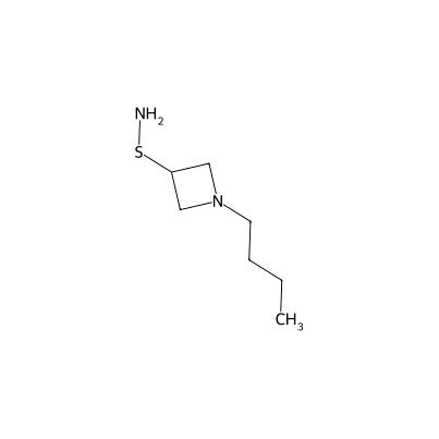 CCCCN1CC(SN)C1